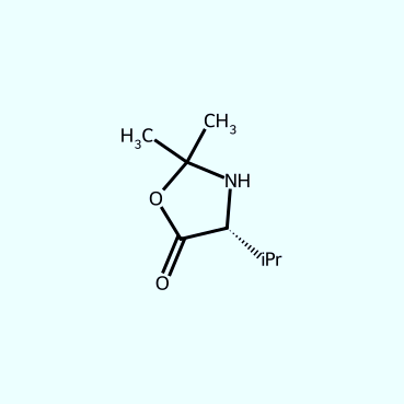 CC(C)[C@H]1NC(C)(C)OC1=O